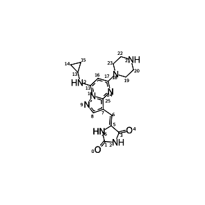 O=C1NC(=O)/C(=C/c2cnn3c(NC4CC4)cc(N4CCNCC4)nc23)N1